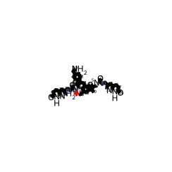 Cc1c(CN(C)C(=O)/C=C/c2cnc3c(c2)CCC(=O)N3)oc2c(Cc3c(CN(C)C(=O)/C=C/c4cnc5c(c4)CCC(=O)N5)oc4cc(CN)ccc34)cc(CN)cc12